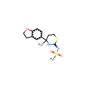 CC1(c2ccc3c(c2)CCO3)CCS/C(=N/S(C)(=O)=O)N1